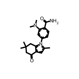 Cc1cc2c(n1-c1ccc(C(N)=O)c(N(C)C)c1)CC(C)(C)CC2=O